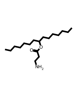 CCCCCCCC(CCCCCCC)OC(=O)CCN